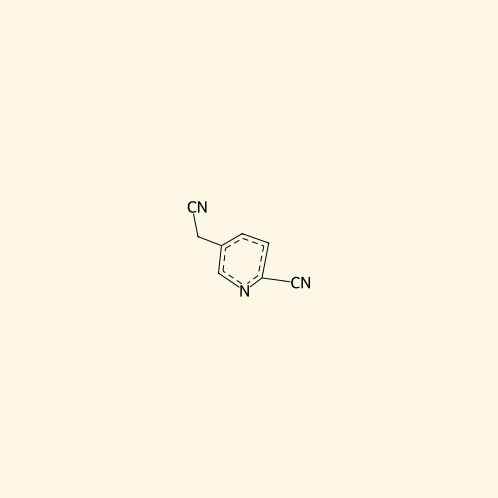 N#CCc1ccc(C#N)nc1